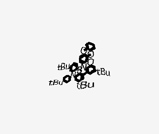 CC(C)(C)c1ccc(N2c3cc(C(C)(C)C)ccc3B3c4c(cc(C(C)(C)C)cc42)-c2cc(C(C)(C)C)cc4oc5c6oc7ccccc7oc6ccc5n3c24)cc1